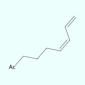 C=C/C=C\CCCC(C)=O